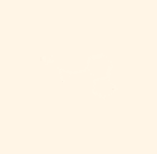 [CH2]C1CC1c1cccc2occc12